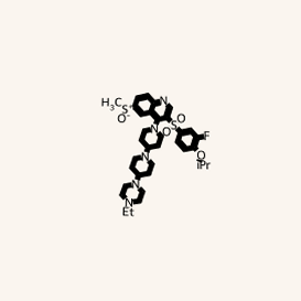 CCN1CCN(C2CCN(C3CCN(c4c(S(=O)(=O)c5ccc(OC(C)C)c(F)c5)cnc5ccc([S+](C)[O-])cc45)CC3)CC2)CC1